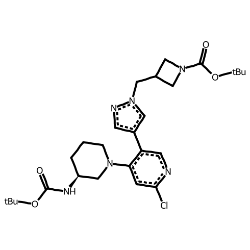 CC(C)(C)OC(=O)N[C@H]1CCCN(c2cc(Cl)ncc2-c2cnn(CC3CN(C(=O)OC(C)(C)C)C3)c2)C1